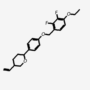 C=CC1CCC(c2ccc(OCc3ccc(OCC)c(F)c3F)cc2)OC1